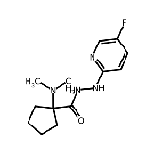 CN(C)C1(C(=O)NNc2ccc(F)cn2)CCCC1